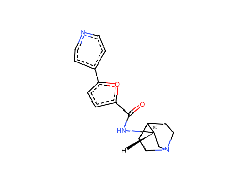 O=C(N[C@H]1CN2CCC1CC2)c1ccc(-c2ccncc2)o1